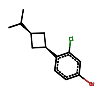 CC(C)[C@H]1C[C@@H](c2ccc(Br)cc2Cl)C1